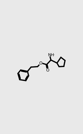 [NH]C(C(=O)OCCc1ccccc1)C1CCCC1